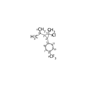 C=C(C)C1C(c2ccc(C(F)(F)F)cc2)C1(C)Cl